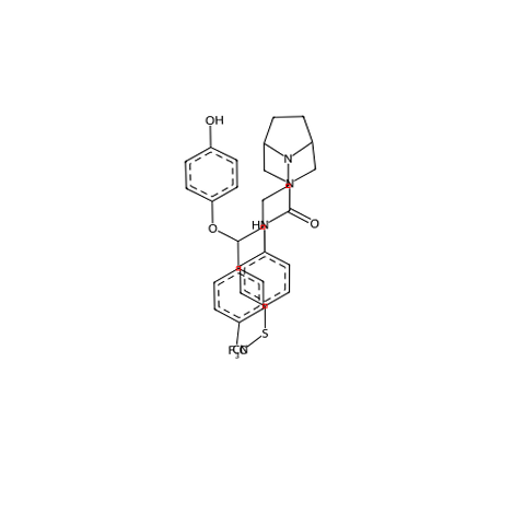 N#Cc1ccc(C(CCCN2C3CCC2CN(C(=O)Nc2ccc(SC(F)(F)F)cc2)C3)Oc2ccc(O)cc2)cc1